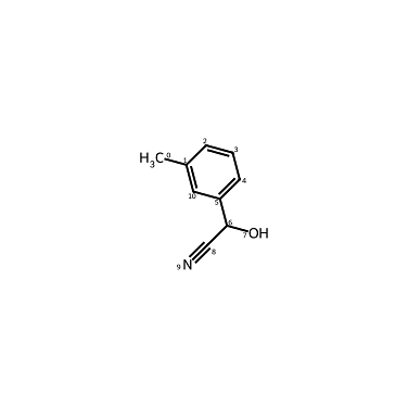 Cc1cccc(C(O)C#N)c1